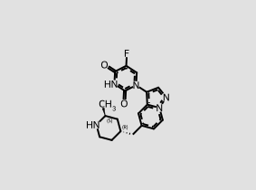 C[C@H]1C[C@H](Cc2ccn3ncc(-n4cc(F)c(=O)[nH]c4=O)c3c2)CCN1